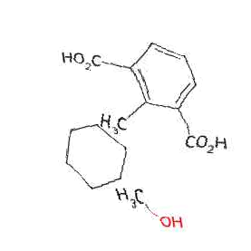 C1CCCCC1.CO.Cc1c(C(=O)O)cccc1C(=O)O